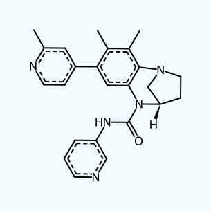 Cc1cc(-c2cc3c(c(C)c2C)N2CC[C@@H](C2)N3C(=O)Nc2cccnc2)ccn1